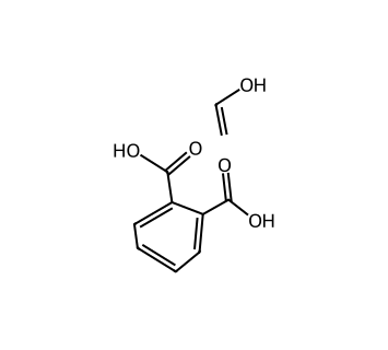 C=CO.O=C(O)c1ccccc1C(=O)O